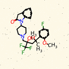 COc1ccc(F)cc1C(C)(C)CC(O)(CN1CCC(N2C(=O)Cc3ccccc32)CC1)C(F)(F)F